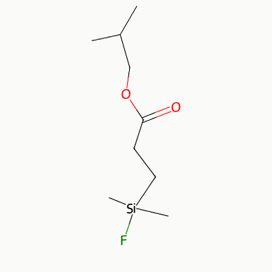 CC(C)COC(=O)CC[Si](C)(C)F